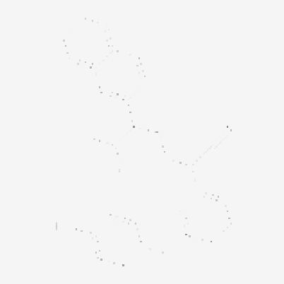 Cc1ccc(Oc2cccc(C(C#N)OC(=O)C(c3ccc4ccccc4c3)C(C)C)n2)cc1